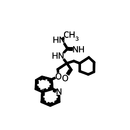 CNC(=N)NC(C=O)(COc1cccc2cccnc12)CC1CCCCC1